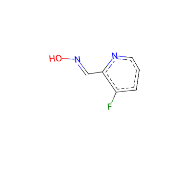 O/N=C/c1ncccc1F